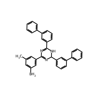 Bc1cc(C)cc(C2=NC(c3cccc(-c4ccccc4)c3)NC(c3cccc(-c4ccccc4)c3)=N2)c1